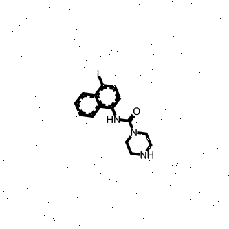 O=C(Nc1ccc(I)c2ccccc12)N1CCNCC1